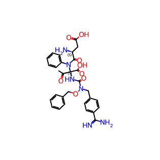 CC(=O)[C@@](NC(=O)N(Cc1ccc(C(=N)N)cc1)OCc1ccccc1)(C(=O)O)N(C(=O)[C@@H](N)CC(=O)O)c1ccccc1